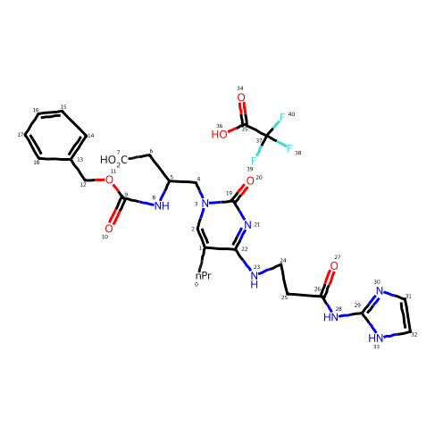 CCCc1cn(CC(CC(=O)O)NC(=O)OCc2ccccc2)c(=O)nc1NCCC(=O)Nc1ncc[nH]1.O=C(O)C(F)(F)F